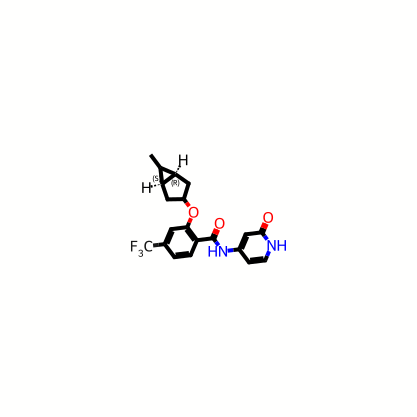 CC1[C@H]2CC(Oc3cc(C(F)(F)F)ccc3C(=O)Nc3cc[nH]c(=O)c3)C[C@@H]12